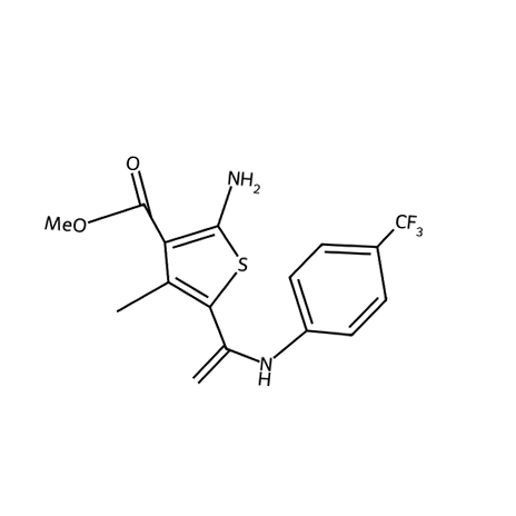 C=C(Nc1ccc(C(F)(F)F)cc1)c1sc(N)c(C(=O)OC)c1C